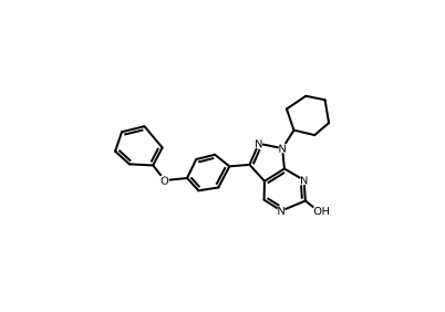 Oc1ncc2c(-c3ccc(Oc4ccccc4)cc3)nn(C3CCCCC3)c2n1